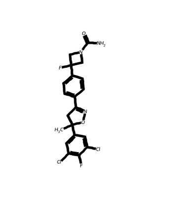 CC1(c2cc(Cl)c(F)c(Cl)c2)CC(c2ccc(C3(F)CN(C(N)=O)C3)cc2)=NO1